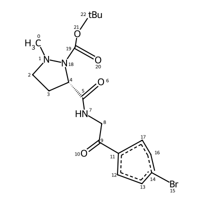 CN1CC[C@@H](C(=O)NCC(=O)c2ccc(Br)cc2)N1C(=O)OC(C)(C)C